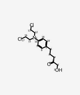 O=C(CO)CCCc1ccc(N(CCCl)CCCl)cc1